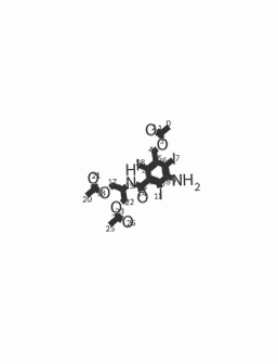 CC(=O)OCc1c(I)c(N)c(I)c(C(=O)NC(COC(C)=O)COC(C)=O)c1I